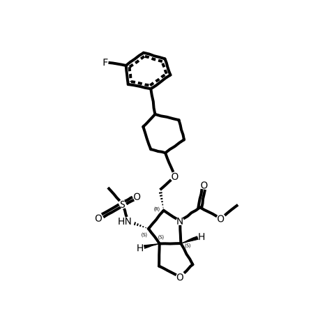 COC(=O)N1[C@@H]2COC[C@@H]2[C@H](NS(C)(=O)=O)[C@@H]1COC1CCC(c2cccc(F)c2)CC1